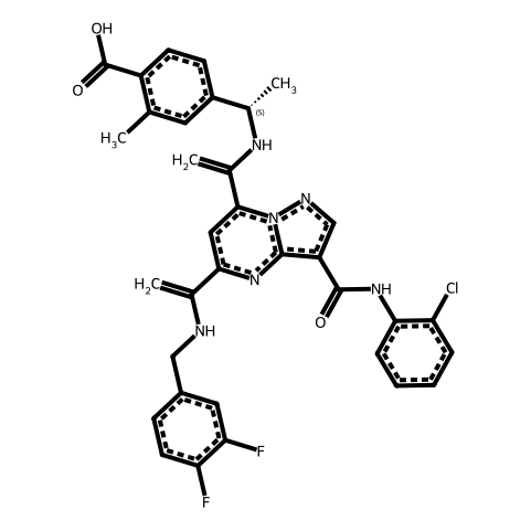 C=C(NCc1ccc(F)c(F)c1)c1cc(C(=C)N[C@@H](C)c2ccc(C(=O)O)c(C)c2)n2ncc(C(=O)Nc3ccccc3Cl)c2n1